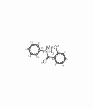 COc1ccccc1C(=O)[SiH2]c1ccccc1